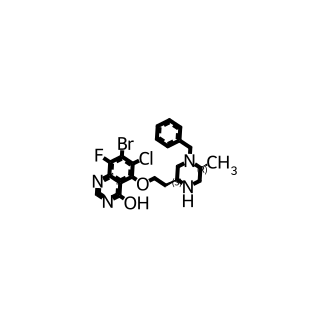 C[C@@H]1CN[C@@H](CCOc2c(Cl)c(Br)c(F)c3ncnc(O)c23)CN1Cc1ccccc1